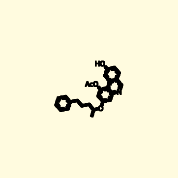 CC(=O)Oc1cc(OC(C)CCCc2ccccc2)cc2ncc3ccc(O)cc3c12